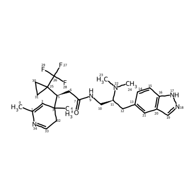 CC1=CC(C)([C@H](CC(=O)NC[C@H](Cc2ccc3[nH]ncc3c2)N(C)C)C2(C(F)(F)F)CC2)CC=N1